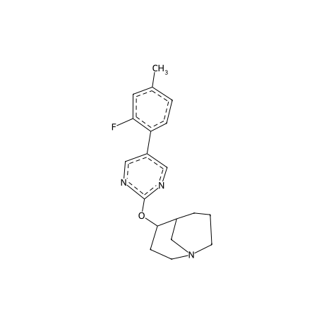 Cc1ccc(-c2cnc(OC3CCN4CCCC3C4)nc2)c(F)c1